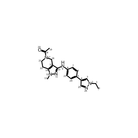 [CH2]Cn1cc(-c2ccc(Nc3nn(C)c4c3CN(C(C)=O)CC4)cc2)cn1